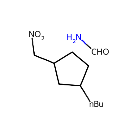 CCCCC1CCC(C[N+](=O)[O-])C1.NC=O